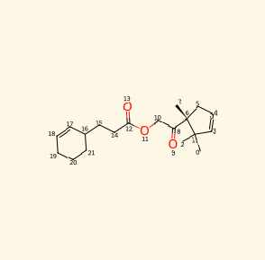 CC1(C)C=CC[C@@]1(C)C(=O)COC(=O)CCC1C=CCCC1